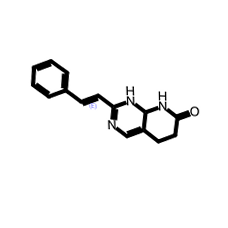 O=C1CCC2=CN=C(/C=C/c3ccccc3)NC2N1